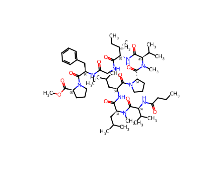 CCCC(=O)N[C@H](C(=O)N(C)[C@@H](CC(C)C)C(=O)N[C@@H](CC(C)C)C(=O)N1CCC[C@H]1C(=O)N(C)[C@@H](C(=O)N[C@H](C(=O)NCC(=O)N(C)[C@H](Cc1ccccc1)C(=O)N1CCC[C@H]1C(=O)OC)[C@@H](C)CC)C(C)C)C(C)C